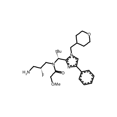 COCC(=O)N(C[C@H](F)CN)[C@@H](c1nc(-c2ccccc2)cn1CC1CCOCC1)C(C)(C)C